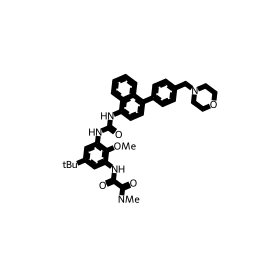 CNC(=O)C(=O)Nc1cc(C(C)(C)C)cc(NC(=O)Nc2ccc(-c3ccc(CN4CCOCC4)cc3)c3ccccc23)c1OC